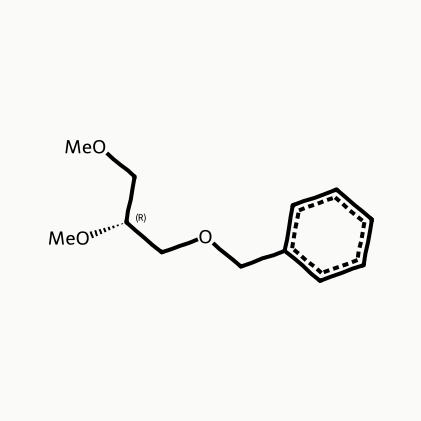 COC[C@H](COCc1ccccc1)OC